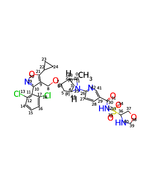 C[C@H]1[C@H]2C[C@H](C[C@@H]2OCc2c(-c3c(Cl)cccc3Cl)noc2C2CC2)N1c1ccc(C(=O)NS(=O)(=O)C2COCN2)cn1